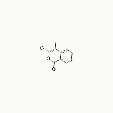 Cc1c(Cl)oc(=O)c2ccccc12